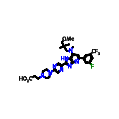 COCC(C)(C)CN(C)c1cc(-c2cc(F)cc(C(F)(F)F)c2)nc2nc(-c3cnc(N4CCN(CCC(=O)O)CC4)cn3)[nH]c12